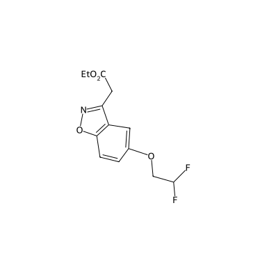 CCOC(=O)Cc1noc2ccc(OCC(F)F)cc12